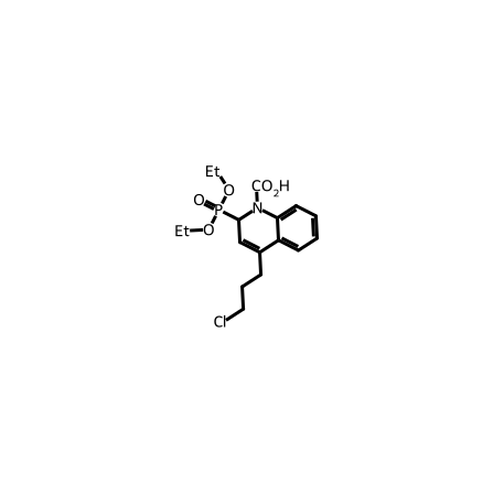 CCOP(=O)(OCC)C1C=C(CCCCl)c2ccccc2N1C(=O)O